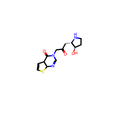 O=C(C[C@@H]1NCC[C@H]1O)CN1C=NC2SC=CC2C1=O